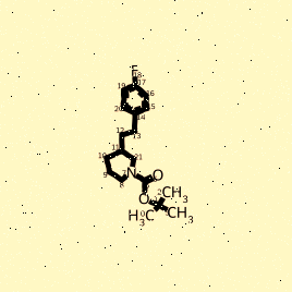 CC(C)(C)OC(=O)N1CCCC(CCc2ccc(F)cc2)C1